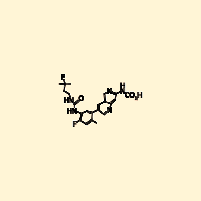 Cc1cc(F)c(NC(=O)NCCC(C)(C)F)cc1-c1cnc2cc(NC(=O)O)ncc2c1